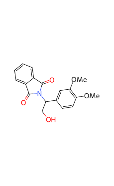 COc1ccc(C(CO)N2C(=O)c3ccccc3C2=O)cc1OC